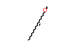 C=COCCCCCCCCCCCCCCCCCC.CC